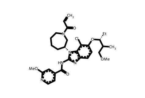 C=CC(=O)N1CCCC[C@@H](n2c(NC(=O)c3ccnc(OC)c3)nc3ccc(O[C@H](CC)C(C)COC)c(Cl)c32)C1